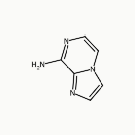 Nc1n[c]cn2ccnc12